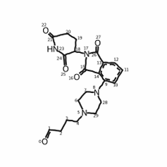 O=CCCCN1CCN(c2cccc3c2C(=O)N(C2CCC(=O)NC2=O)C3=O)CC1